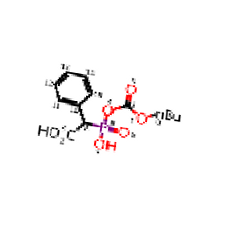 CCCCOC(=O)OP(=O)(O)C(C(=O)O)c1ccccc1